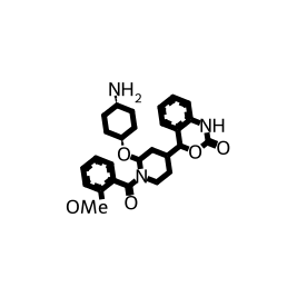 COc1ccccc1C(=O)N1CCC(C2OC(=O)Nc3ccccc32)CC1O[C@H]1CC[C@@H](N)CC1